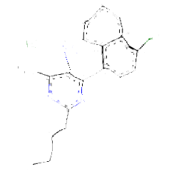 CCCCc1nc(C)c(N)c(-c2ccc(F)c3ccccc23)n1.Cl